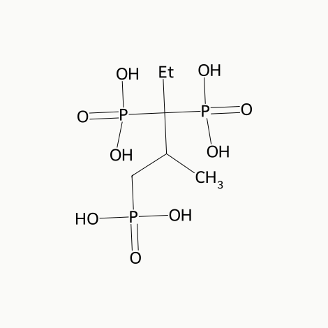 CCC(C(C)CP(=O)(O)O)(P(=O)(O)O)P(=O)(O)O